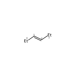 [CH2]C/[C]=C/CC